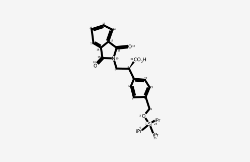 CC(C)[Si](OCc1ccc([C@@H](CN2C(=O)c3ccccc3C2=O)C(=O)O)cc1)(C(C)C)C(C)C